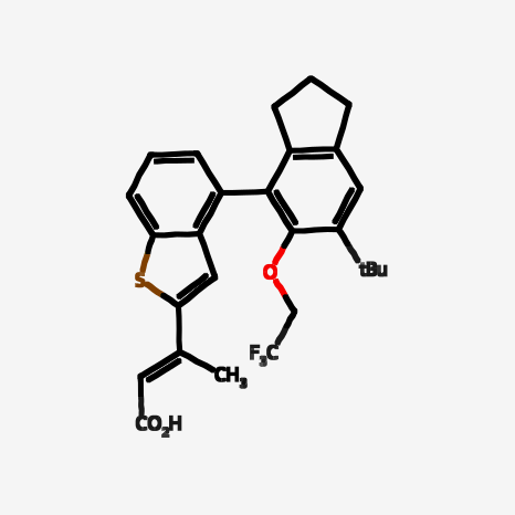 C/C(=C\C(=O)O)c1cc2c(-c3c4c(cc(C(C)(C)C)c3OCC(F)(F)F)CCC4)cccc2s1